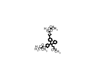 COC(=O)CC/C(=C(\c1ccc(OC(=O)C(C)(C)C)cc1)c1ccc(C2CN(C(=O)OC(C)(C)C)C2)cc1)c1ccccc1